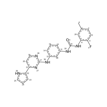 Cc1ccc(F)c(NC(=O)Nc2cccc(Nc3nccc(-c4ccc[nH]4)n3)c2)c1